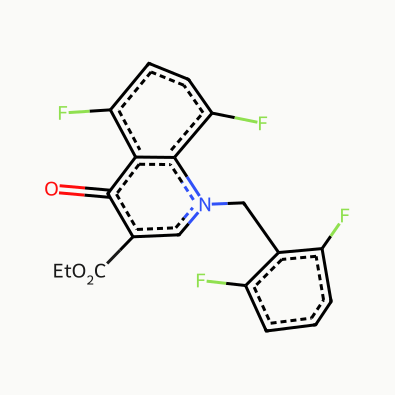 CCOC(=O)c1cn(Cc2c(F)cccc2F)c2c(F)ccc(F)c2c1=O